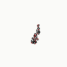 c1ccc(-c2ccc(-c3ccc4ccc(-c5ccc6ccc(-c7c8ccccc8c(-c8ccc9ccc%10cccnc%10c9n8)c8ccccc78)nc6c5)cc4n3)cc2)cc1